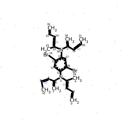 C=C/C=C(\C)N(C(=C)/C=C\C)c1cc(Br)c(N(C(=C)/C=C\C)/C(C)=C/C=C)cc1Br